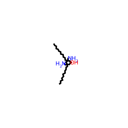 CCCCCCCCCCCCC1(CN)C=C(O)CC(CN)(CCCCCCCCCCCC)C1